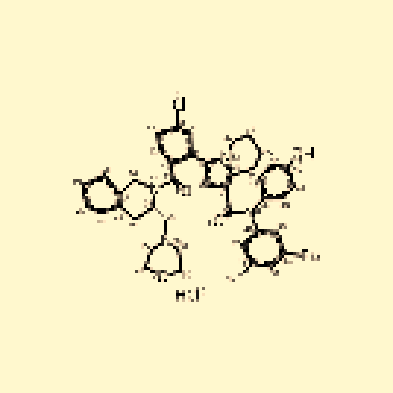 Cl.O=C(c1cc(-c2cc(Cl)ccc2C(=O)N2Cc3ccccc3C[C@H]2CN2CCOCC2)n2c1CCCC2)N(c1ccc(O)cc1)c1cc(F)cc(F)c1